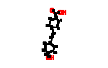 O=C(O)c1ccc(C#Cc2ccc(O)cc2)cc1